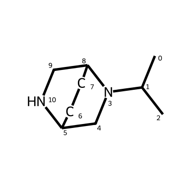 CC(C)N1CC2CCC1CN2